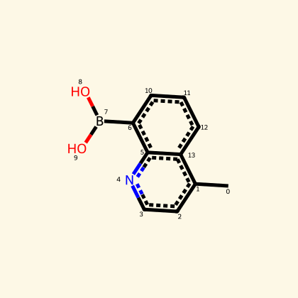 Cc1ccnc2c(B(O)O)cccc12